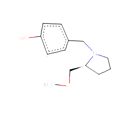 COC[C@@H]1CCCN1Cc1ccc(O)cc1